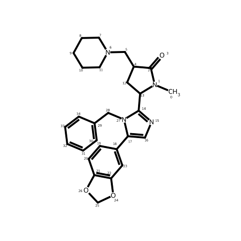 CN1C(=O)C(CN2CCCCC2)CC1c1ncc(-c2ccc3c(c2)OCO3)n1Cc1ccccc1